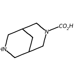 O=C(O)N1CC2CNCC(C2)C1